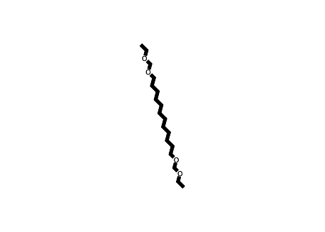 CCOCOCCCCCCCCCCCCOCOCC